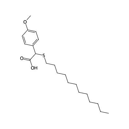 CCCCCCCCCCCCSC(C(=O)O)c1ccc(OC)cc1